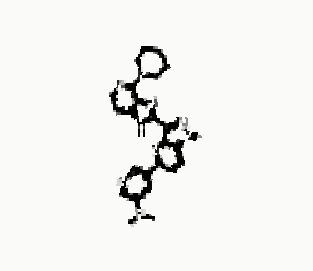 CN(C)c1cncc(-c2ccc3[nH]nc(-c4nc5c(N6CCCCC6)nccc5[nH]4)c3n2)c1